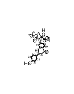 CC(C)(C)OC(=O)N(c1ccc2c(c1)OC(c1ccc(O)cc1)CC2=O)[C@](C)(O)C(=O)O